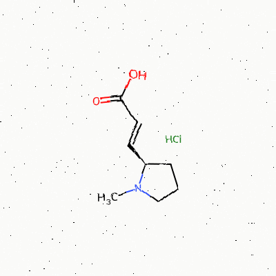 CN1CCC[C@@H]1/C=C/C(=O)O.Cl